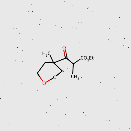 CCOC(=O)C(C)C(=O)C1(C)CCOCC1